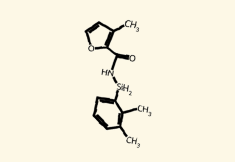 Cc1ccoc1C(=O)N[SiH2]c1cccc(C)c1C